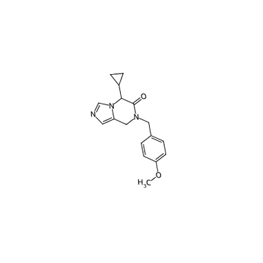 COc1ccc(CN2Cc3cncn3C(C3CC3)C2=O)cc1